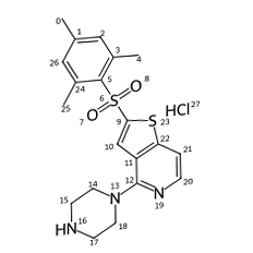 Cc1cc(C)c(S(=O)(=O)c2cc3c(N4CCNCC4)nccc3s2)c(C)c1.Cl